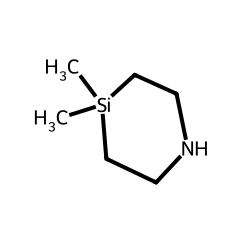 C[Si]1(C)CCNCC1